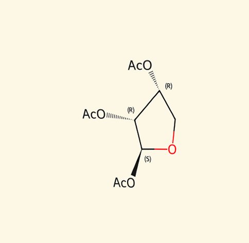 CC(=O)O[C@@H]1OC[C@@H](OC(C)=O)[C@H]1OC(C)=O